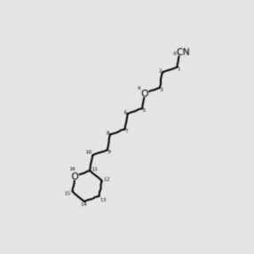 N#CCCCOCCCCCCC1CCCCO1